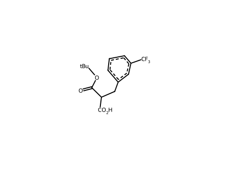 CC(C)(C)OC(=O)C(Cc1cccc(C(F)(F)F)c1)C(=O)O